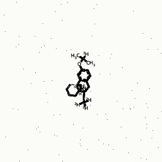 [2H]C(C)(C)Oc1ccc2c(c1)[C@]13CCCC[C@H]1C(C2)N(C([2H])([2H])[2H])CC3